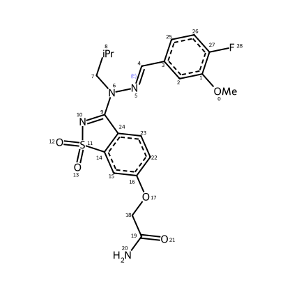 COc1cc(/C=N/N(CC(C)C)C2=NS(=O)(=O)c3cc(OCC(N)=O)ccc32)ccc1F